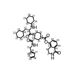 O=C1NCCc2c(OC(=O)N3CCN(C(=O)[C@@H](CC4CCCCC4)NC4CCCCC4)[C@H](C(=O)NCc4cccs4)C3)cccc21